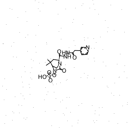 CC1(C)C[C@@H](C(=O)NNC(=O)Cc2cccnc2)N2CC1N(OS(=O)(=O)O)C2=O